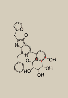 O=c1c(Cc2ccco2)nc2c(Cc3ccccc3)n(OC3O[C@H](CO)[C@H](O)[C@H](O)[C@H]3O)c(-c3ccccc3)cn1-2